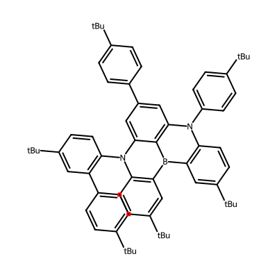 CC(C)(C)c1ccc(-c2cc3c4c(c2)N(c2ccc(C(C)(C)C)cc2-c2ccc(C(C)(C)C)cc2)c2ccc(C(C)(C)C)cc2B4c2cc(C(C)(C)C)ccc2N3c2ccc(C(C)(C)C)cc2)cc1